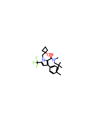 Cc1ccc(-c2cc(C(F)(F)F)n(CC3(O)CCC3)c2C(=O)N(C)CC(C)(C)C)cc1